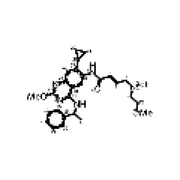 CCN(CC=CC(=O)Nc1cc2c(NC(C)c3ccccc3)nc(OC)nc2cc1C1CC1)CCOC